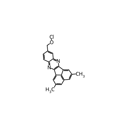 Cc1cc2c3c(cc(C)cc3c1)-c1nc3cc(COCl)ccc3nc1-2